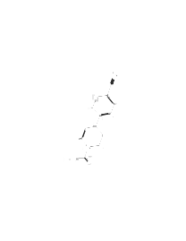 N#CC1=CC=C(C2C=CN(C(=O)O)CC2)CN1